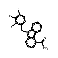 NC(=O)c1cccc2c1c1[c]cccc1n2Cc1ccc(F)c(F)c1F